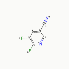 N#Cc1cnc(F)c(F)c1